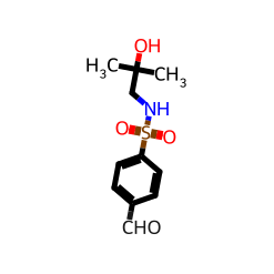 CC(C)(O)CNS(=O)(=O)c1ccc(C=O)cc1